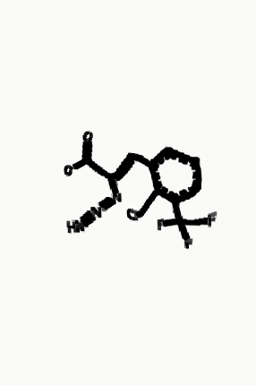 N=[N+]=N/C(=C\c1cccc(C(F)(F)F)c1Cl)C(=O)[O-]